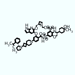 CCN1CC[C@@H]1COc1nc2[nH]ccc2cc1Oc1cc(N2CCC3(CC2)CC(N2CCC[C@@H]2c2ccccc2C(C)C)C3)ccc1C(=O)NS(=O)(=O)c1cc2c(c([N+](=O)[O-])c1)N[C@@H]([C@H]1CC[C@](C)(O)CC1)CO2